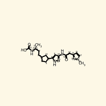 C[C@@H](CCC1CCC(c2cc(NC(=O)Cc3ccn(C)n3)n[nH]2)C1)NC(=O)O